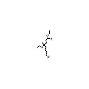 CCOC(=O)CCC(C)(CCCCBr)OCC